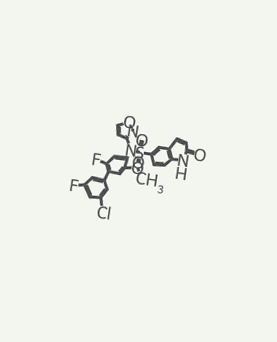 COc1cc(-c2cc(F)cc(Cl)c2)c(F)cc1N(c1ccon1)S(=O)(=O)c1ccc2[nH]c(=O)ccc2c1